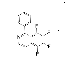 Fc1c(F)c(F)c2c(-c3ccccc3)nncc2c1F